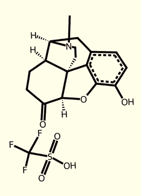 CN1CC[C@]23c4c5ccc(O)c4O[C@H]2C(=O)CC[C@H]3[C@H]1C5.O=S(=O)(O)C(F)(F)F